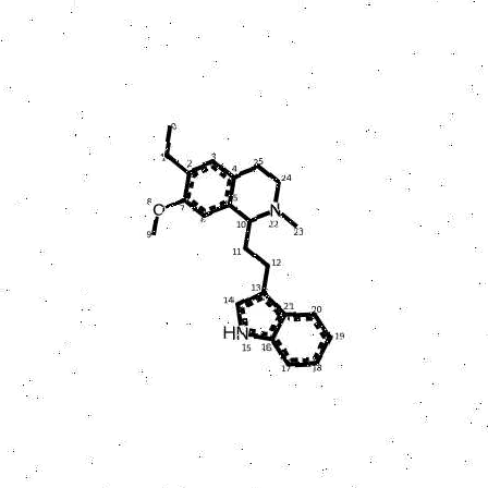 CCc1cc2c(cc1OC)C(CCc1c[nH]c3ccccc13)N(C)CC2